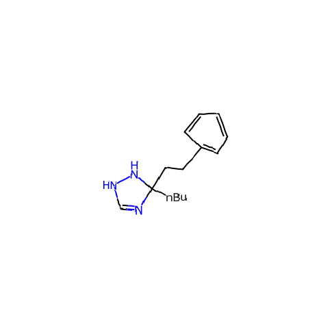 CCCCC1(CCc2ccccc2)N=CNN1